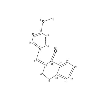 CSc1ccc(C=C2CCc3ccccc3C2=O)cc1